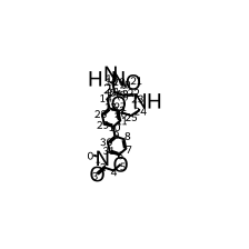 CN1C(=O)COc2ccc(-c3ccc(C[C@@H](C#N)[C@@]4(C(N)=O)CNCCCO4)cc3)cc21